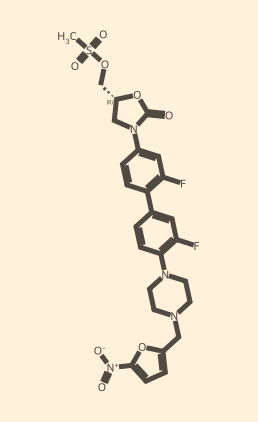 CS(=O)(=O)OC[C@H]1CN(c2ccc(-c3ccc(N4CCN(Cc5ccc([N+](=O)[O-])o5)CC4)c(F)c3)c(F)c2)C(=O)O1